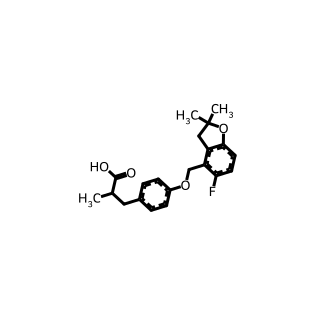 CC(Cc1ccc(OCc2c(F)ccc3c2CC(C)(C)O3)cc1)C(=O)O